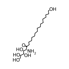 N[C@@H](C(=O)CCCCCCCCCCCCCCCCO)[C@@H](O)[C@H](O)[C@H](O)CO